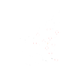 CCCCC(CCCC)=C(C)C(=O)OC(C)OP(=O)(OC(C)OC(=O)C(C)=C(CCCC)CCCC)OC(C)OC(=O)C(C)=C(CCCC)CCCC